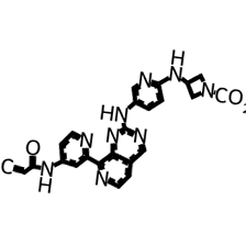 C=CC(=O)Nc1ccnc(-c2nccc3cnc(Nc4ccc(NC5CN(C(=O)O)C5)nc4)nc23)c1